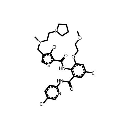 COCCOc1cc(Cl)cc(C(=O)Nc2ccc(Cl)cn2)c1NC(=O)c1scc(CN(C)CCN2CCCC2)c1Cl